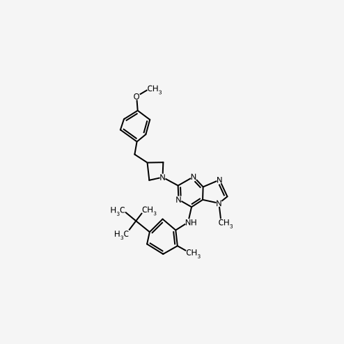 COc1ccc(CC2CN(c3nc(Nc4cc(C(C)(C)C)ccc4C)c4c(ncn4C)n3)C2)cc1